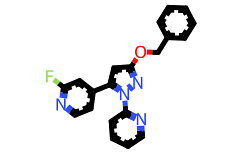 Fc1cc(-c2cc(OCc3ccccc3)nn2-c2ccccn2)ccn1